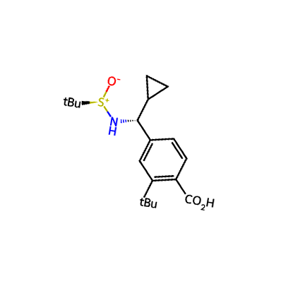 CC(C)(C)c1cc([C@H](N[S@+]([O-])C(C)(C)C)C2CC2)ccc1C(=O)O